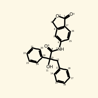 O=C1OCc2cc(NC(=O)C(O)(Cc3ccccc3)c3ccccc3)ccc21